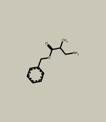 CC(CN)C(=O)OCc1ccccc1